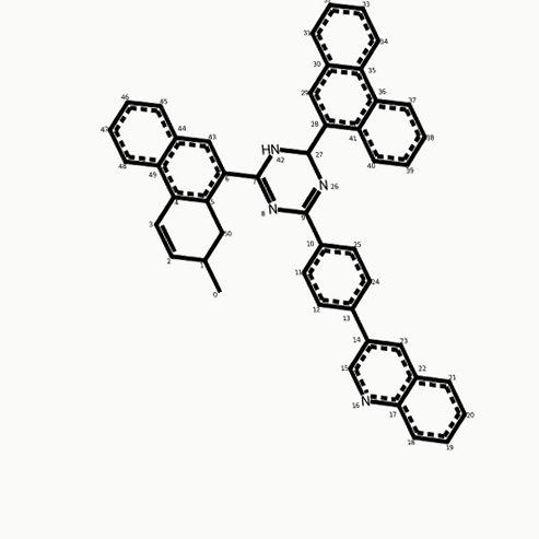 CC1C=Cc2c(c(C3=NC(c4ccc(-c5cnc6ccccc6c5)cc4)=NC(c4cc5ccccc5c5ccccc45)N3)cc3ccccc23)C1